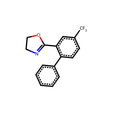 FC(F)(F)c1ccc(-c2ccccc2)c(C2=NCCO2)c1